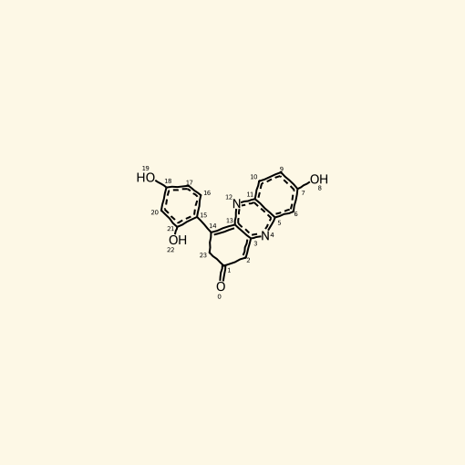 O=C1C=c2nc3cc(O)ccc3nc2=C(c2ccc(O)cc2O)C1